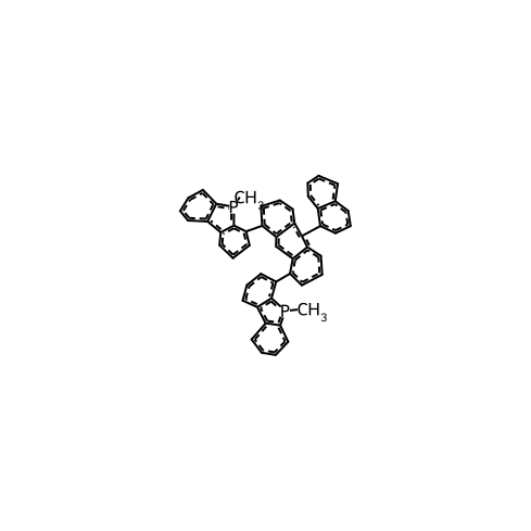 Cp1c2ccccc2c2cccc(-c3cccc4c(-c5cccc6ccccc56)c5cccc(-c6cccc7c8ccccc8p(C)c67)c5cc34)c21